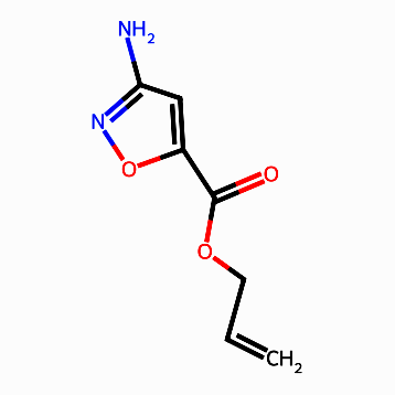 C=CCOC(=O)c1cc(N)no1